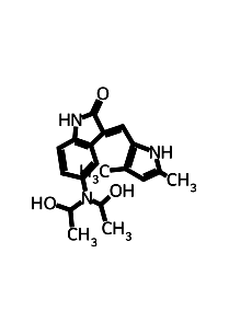 Cc1cc(C)c(C=C2C(=O)Nc3ccc(N(C(C)O)C(C)O)cc32)[nH]1